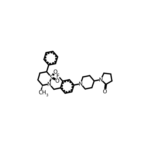 C[C@H]1CCC(c2ccccc2)S(=O)(=O)N1Cc1ccc(N2CCC(N3CCCC3=O)CC2)cc1F